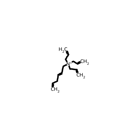 C=CCC=CC[N+](CC=C)(CC=C)CC=C